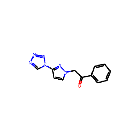 O=C(Cn1ccc(-n2cnnn2)n1)c1ccccc1